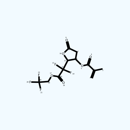 C=C(C)C(=O)OC1CC(=O)OC1C(F)(F)C(=O)OCC(F)(F)F